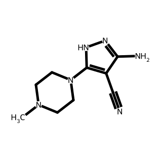 CN1CCN(c2[nH]nc(N)c2C#N)CC1